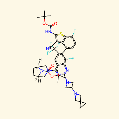 CC(C)(C)OC(=O)Nc1sc2c(F)ccc(-c3c(C(F)(F)F)cc4c(N5C[C@H]6CC[C@@H](C5)N6C(=O)OC(C)(C)C)nc(N5CC(N6CC7(CC7)C6)C5)nc4c3F)c2c1C#N